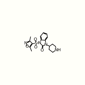 Cc1noc(C)c1S(=O)(=O)n1c(=O)n(C2CCNCC2)c2ccccc21